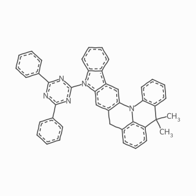 CC1(C)c2ccccc2N2c3cc4c5ccccc5n(-c5nc(-c6ccccc6)nc(-c6ccccc6)n5)c4cc3Cc3cccc1c32